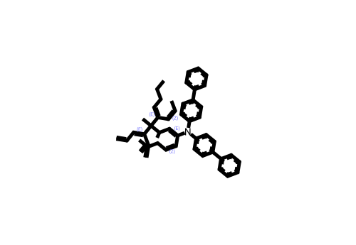 C=C/C=C(\C=C)C(C)(C(/C=C\C)=C/CCC)C(C)/C=C(\C=C/CC(=C)C)N(c1ccc(-c2ccccc2)cc1)c1ccc(-c2ccccc2)cc1